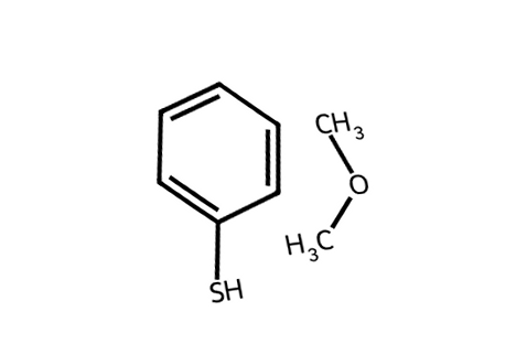 COC.Sc1ccccc1